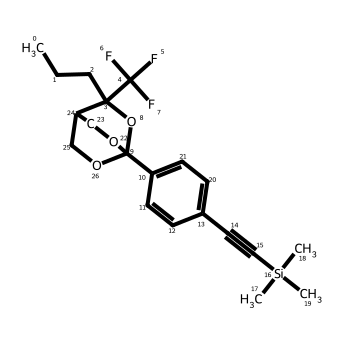 CCCC1(C(F)(F)F)OC2(c3ccc(C#C[Si](C)(C)C)cc3)OCC1CO2